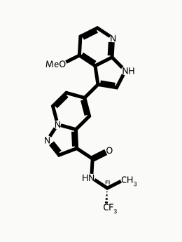 COc1ccnc2[nH]cc(-c3ccn4ncc(C(=O)N[C@H](C)C(F)(F)F)c4c3)c12